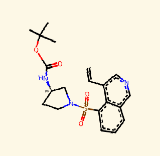 C=Cc1cncc2cccc(S(=O)(=O)N3CC[C@@H](NC(=O)OC(C)(C)C)C3)c12